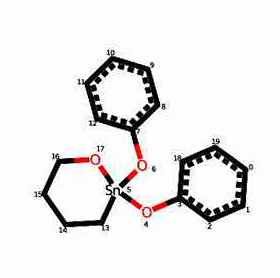 c1ccc([O][Sn]2([O]c3ccccc3)[CH2]CCC[O]2)cc1